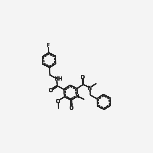 COc1c(C(=O)NCc2ccc(F)cc2)cc(C(=O)N(C)Cc2ccccc2)n(C)c1=O